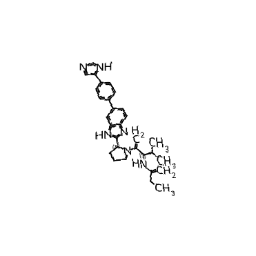 C=C(CC)N[C@H](C(=C)N1CCC[C@H]1c1nc2ccc(-c3ccc(-c4cnc[nH]4)cc3)cc2[nH]1)C(C)C